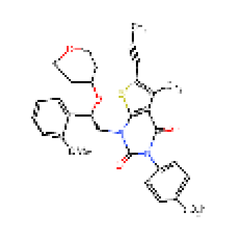 CC#Cc1sc2c(c1C)c(=O)n(-c1ccc(C(=O)O)cc1)c(=O)n2C[C@H](OC1CCOCC1)c1ccccc1OC